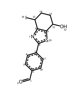 O=Cc1ccc(-c2nc3c(s2)C(O)CCC3I)cc1